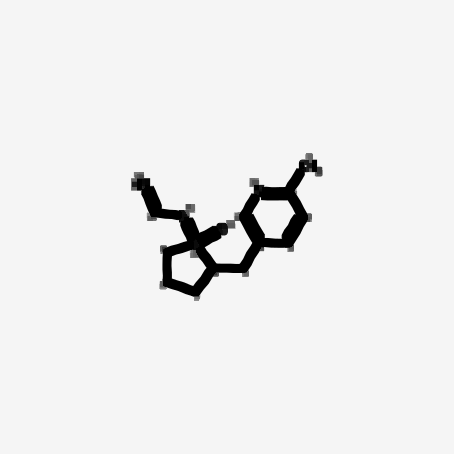 Cc1ccc(CC2CCCS2(=O)=NC=N)cn1